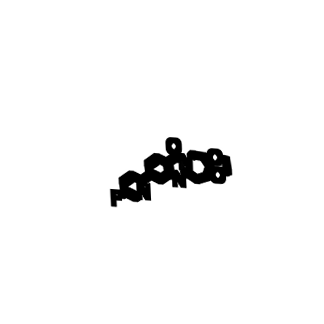 O=c1c2ccc(-c3ccc(F)cn3)cc2nc2n1CCC1(CC2)OCCO1